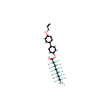 C=CCOc1ccc(-c2ccc(OC(=O)C(F)(F)C(F)(F)C(F)(F)C(F)(F)C(F)(F)C(F)(F)C(F)(F)F)cc2)cc1